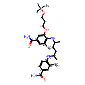 CC(CCC(C)Nc1c(OCCCO[Si](C)(C)C(C)(C)C)cc(C(N)=O)cc1[N+](=O)[O-])Nc1ccc(C(N)=O)cc1[N+](=O)[O-]